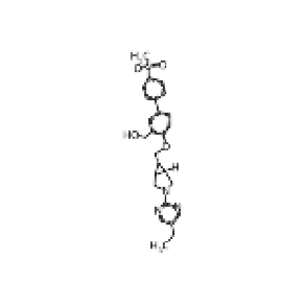 CCc1cnc(N2CC3[C@@H](COc4ccc(-c5ccc(S(C)(=O)=O)cc5)cc4CO)[C@@H]3C2)nc1